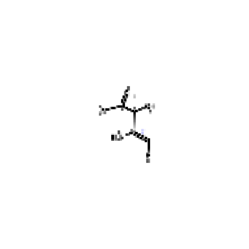 C=C(N)C(O)/C(N)=C/CC